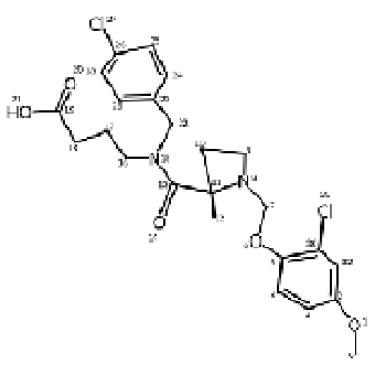 COc1ccc(OCN2CCC2(C)C(=O)N(CCCC(=O)O)Cc2ccc(Cl)cc2)c(Cl)c1